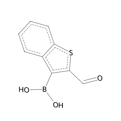 O=Cc1sc2ccccc2c1B(O)O